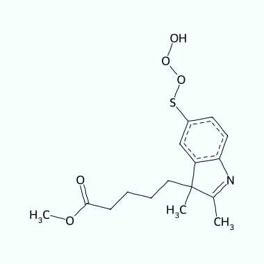 COC(=O)CCCCC1(C)C(C)=Nc2ccc(SOOO)cc21